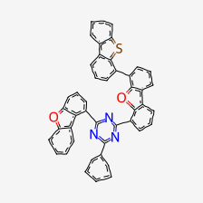 c1ccc(-c2nc(-c3cccc4c3oc3c(-c5cccc6c5sc5ccccc56)cccc34)nc(-c3cccc4oc5ccccc5c34)n2)cc1